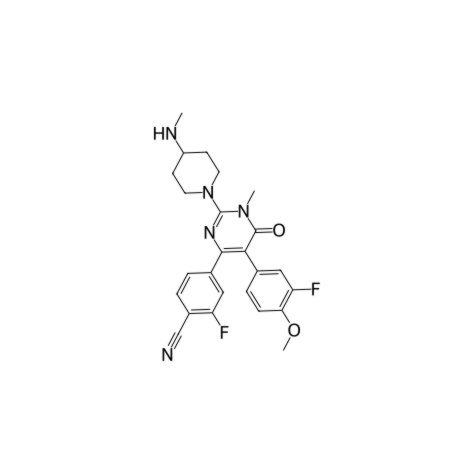 CNC1CCN(c2nc(-c3ccc(C#N)c(F)c3)c(-c3ccc(OC)c(F)c3)c(=O)n2C)CC1